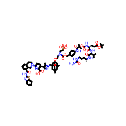 Cc1c(-c2ccc(N3CCc4cccc(C(=O)Nc5nc6ccccc6s5)c4C3)nc2C(=O)O)cnn1CC12CC3(C)CC(C)(C1)CC(OCCN(CCS(=O)(=O)O)C(=O)OCc1ccc(NC(=O)C(C)(C)OC(=O)N[C@@H](CCC(=O)OC(C)(C)C)C(=O)N[C@H](C(=O)N[C@@H](C)CCCNC(N)=O)C(C)C)cc1)(C3)C2